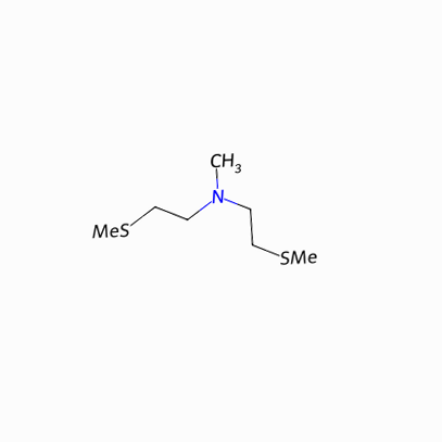 CSCCN(C)CCSC